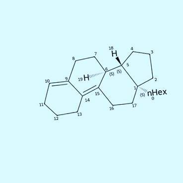 CCCCCC[C@@]12CCC[C@H]1[C@@H]1CCC3=CCCCC3=C1CC2